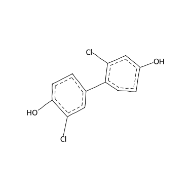 Oc1ccc(-c2ccc(O)c(Cl)c2)c(Cl)c1